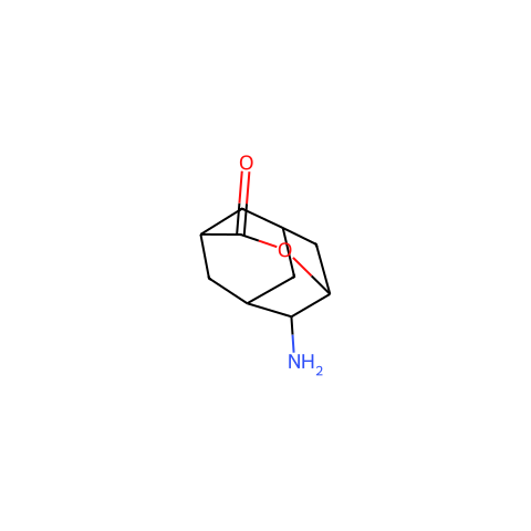 NC1C2CC3CC(C2)C(=O)OC1C3